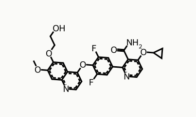 COc1cc2nccc(Oc3c(F)cc(-c4nccc(OC5CC5)c4C(N)=O)cc3F)c2cc1OCCO